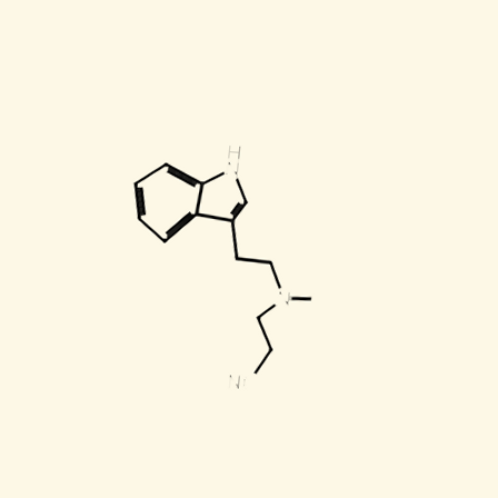 CN(CCC#N)CCc1c[nH]c2ccccc12